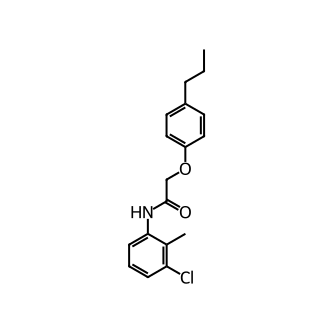 CCCc1ccc(OCC(=O)Nc2cccc(Cl)c2C)cc1